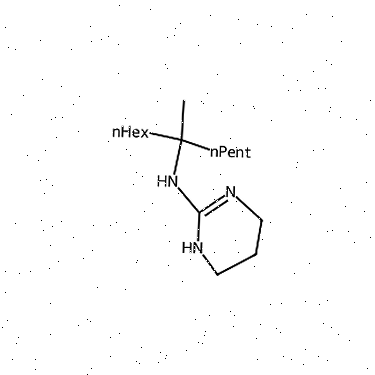 CCCCCCC(C)(CCCCC)NC1=NCCCN1